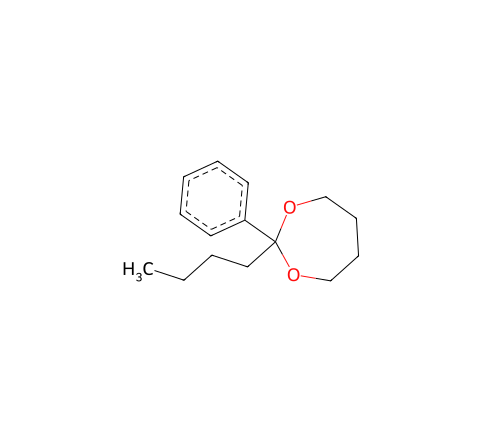 CCCCC1(c2ccccc2)OCCCCO1